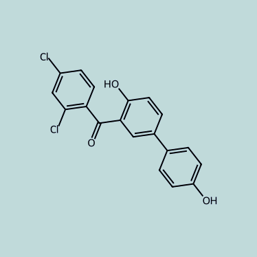 O=C(c1cc(-c2ccc(O)cc2)ccc1O)c1ccc(Cl)cc1Cl